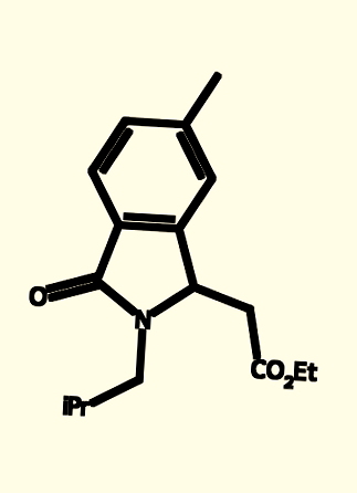 CCOC(=O)CC1c2cc(C)ccc2C(=O)N1CC(C)C